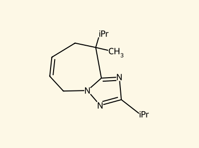 CC(C)c1nc2n(n1)CC=CCC2(C)C(C)C